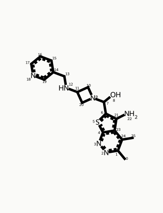 Cc1nnc2sc(C(O)N3CC(NCc4cccnc4)C3)c(N)c2c1C